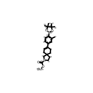 Cc1cc(C2=CCC3(CC2)CCN(C(=O)OC(C)(C)C)C3)ccc1B1OC(C)(C)C(C)(C)O1